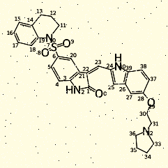 O=C1Nc2ccc(S(=O)(=O)N3CCCc4ccccc43)cc2C1=Cc1cc2cc(OCCN3CCCC3)ccc2[nH]1